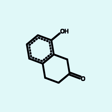 O=C1CCc2cccc(O)c2C1